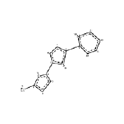 CCc1ccc(-c2ccc(-c3ccccn3)s2)s1